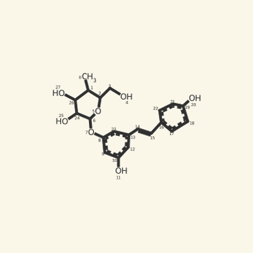 CC1C(CO)OC(Oc2cc(O)cc(/C=C/c3ccc(O)cc3)c2)C(O)C1O